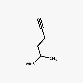 [C]#CCCC(C)SC